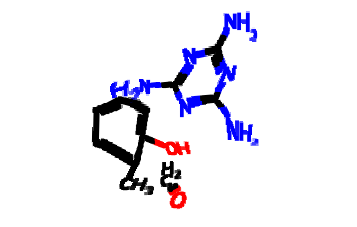 C=O.Cc1ccccc1O.Nc1nc(N)nc(N)n1